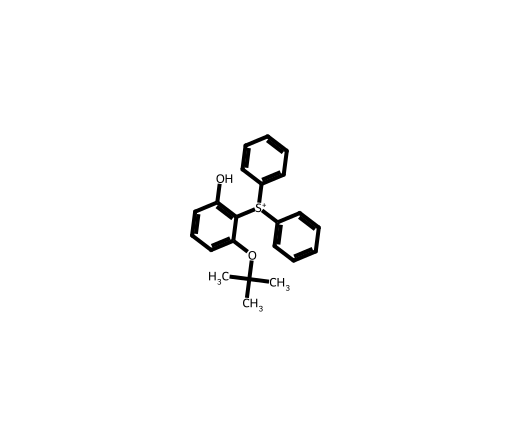 CC(C)(C)Oc1cccc(O)c1[S+](c1ccccc1)c1ccccc1